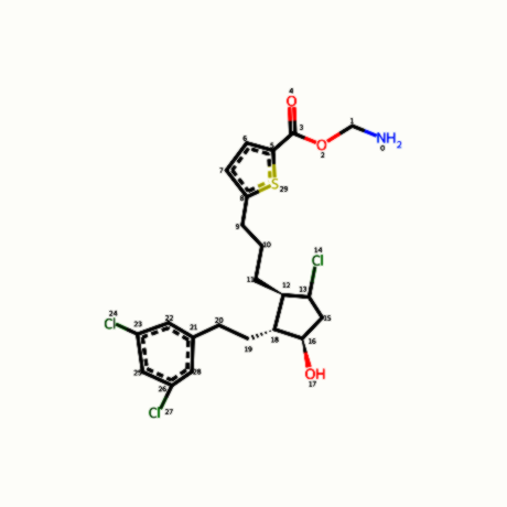 NCOC(=O)c1ccc(CCC[C@H]2C(Cl)C[C@@H](O)[C@@H]2CCc2cc(Cl)cc(Cl)c2)s1